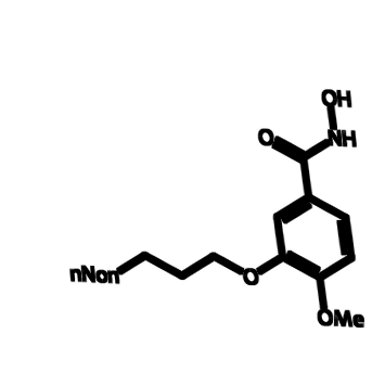 CCCCCCCCCCCCOc1cc(C(=O)NO)ccc1OC